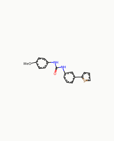 COc1ccc(NC(=O)Nc2cccc(-c3cccs3)c2)cc1